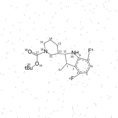 CC1c2c(F)ccc(F)c2NC1C1CCCN(C(=O)OC(C)(C)C)C1